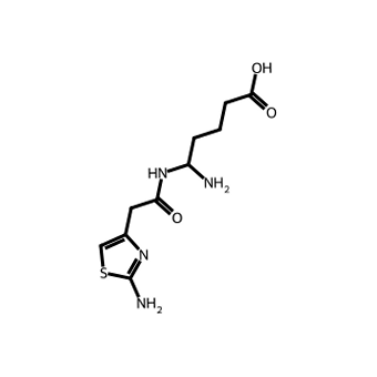 Nc1nc(CC(=O)NC(N)CCCC(=O)O)cs1